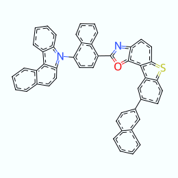 c1ccc2cc(-c3ccc4sc5ccc6nc(-c7ccc(-n8c9ccccc9c9c%10ccccc%10ccc98)c8ccccc78)oc6c5c4c3)ccc2c1